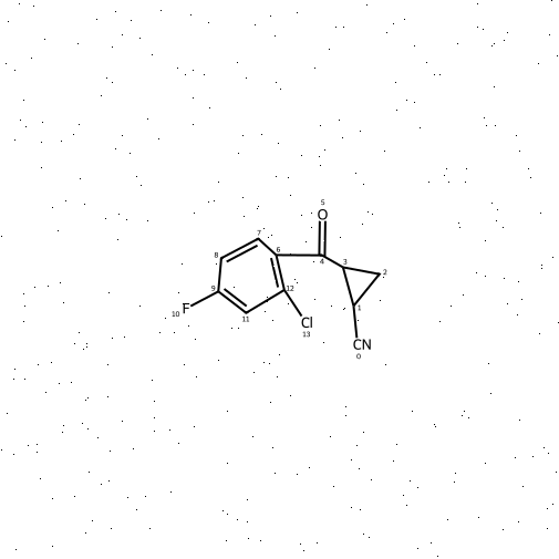 N#CC1CC1C(=O)c1ccc(F)cc1Cl